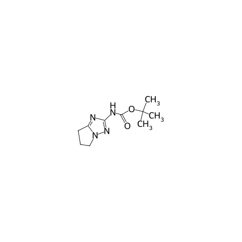 CC(C)(C)OC(=O)Nc1nc2n(n1)CCC2